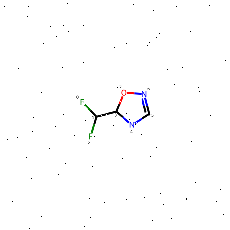 FC(F)C1[N][C]=NO1